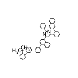 CC1(C)c2ccccc2-c2cc(-c3cccc(-c4ccc(-c5cc(-c6ccccc6-c6ccc7ccccc7c6)nc(-c6ccccc6)n5)c5ccccc45)c3)ccc21